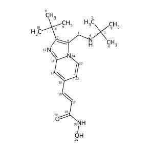 CC(C)(C)NCc1c(C(C)(C)C)nc2cc(/C=C/C(=O)NO)ccn12